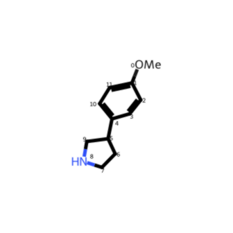 COc1ccc(C2CCNC2)cc1